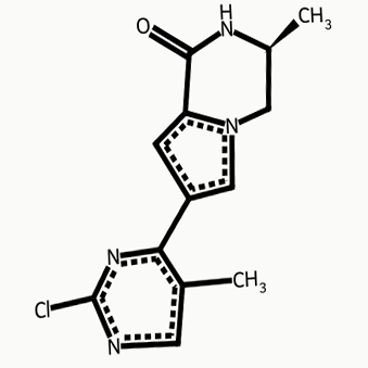 Cc1cnc(Cl)nc1-c1cc2n(c1)C[C@H](C)NC2=O